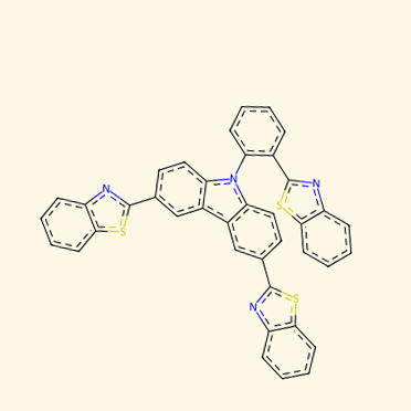 c1ccc(-n2c3ccc(-c4nc5ccccc5s4)cc3c3cc(-c4nc5ccccc5s4)ccc32)c(-c2nc3ccccc3s2)c1